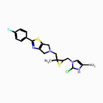 CC1(CN2Cc3nc(-c4ccc(F)cc4)sc3C2)SC1CN1C=C([N+](=O)[O-])NC1Cl